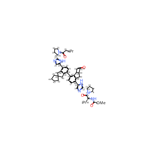 COC(=O)N[C@H](C(=O)N1CCC[C@H]1c1ncc(-c2ccc(-c3ccc(-c4cnc([C@@H]5CCCN5C(=O)CC(C)C)[nH]4)c4c3CC3(CCCC3)C4)c3c2CC2C(=O)CC32)[nH]1)C(C)C